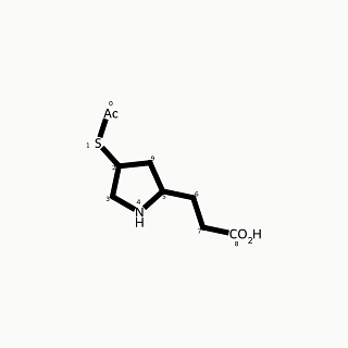 CC(=O)SC1CNC(CCC(=O)O)C1